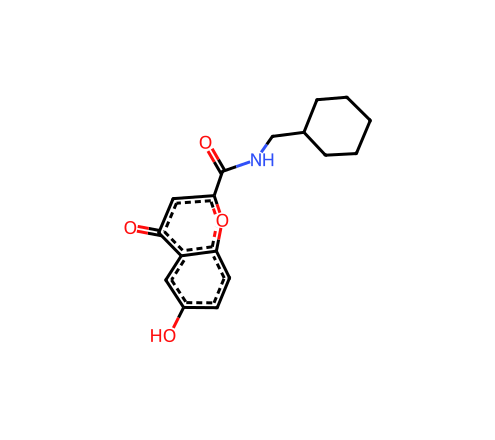 O=C(NCC1CCCCC1)c1cc(=O)c2cc(O)ccc2o1